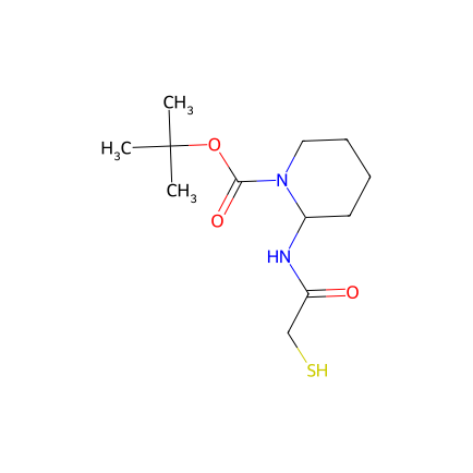 CC(C)(C)OC(=O)N1CCCCC1NC(=O)CS